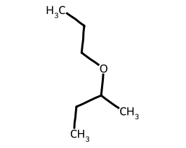 CCCOC(C)CC